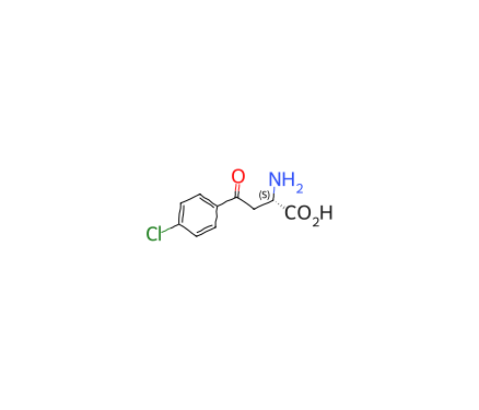 N[C@@H](CC(=O)c1ccc(Cl)cc1)C(=O)O